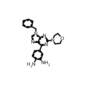 Nc1ccc(-c2nc(N3CCOCC3)nc3c2ncn3Cc2ccccc2)cc1N